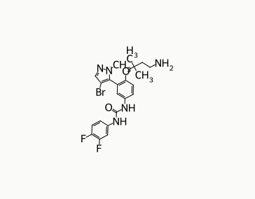 Cn1ncc(Br)c1-c1cc(NC(=O)Nc2ccc(F)c(F)c2)ccc1OC(C)(C)CCN